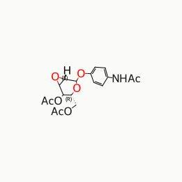 CC(=O)Nc1ccc(OC2O[C@H](COC(C)=O)C(OC(C)=O)C3O[C@H]23)cc1